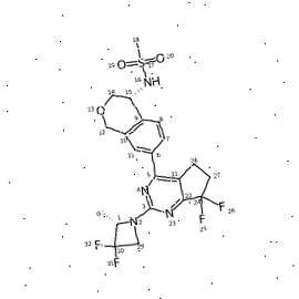 C[C@@H]1N(c2nc(-c3ccc4c(c3)COC[C@@H]4NS(C)(=O)=O)c3c(n2)C(F)(F)CC3)CC1(F)F